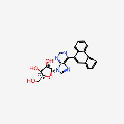 OC[C@H]1O[C@@H](n2cnc3c(-c4cc5ccccc5c5ccccc45)ncnc32)[C@H](O)[C@@H]1O